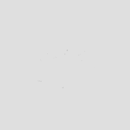 COc1cc(-c2cn(CC(=O)Nc3cc(N4C[C@@H](C)O[C@@H](C)C4)ncc3Cl)c3ncn(C)c(=O)c23)cc(C(N)=O)c1O